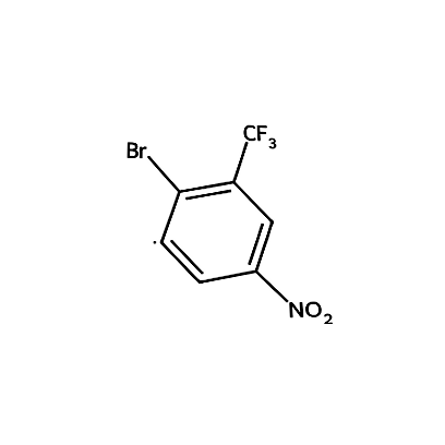 O=[N+]([O-])c1c[c]c(Br)c(C(F)(F)F)c1